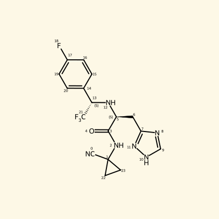 N#CC1(NC(=O)[C@H](Cc2nc[nH]n2)N[C@@H](c2ccc(F)cc2)C(F)(F)F)CC1